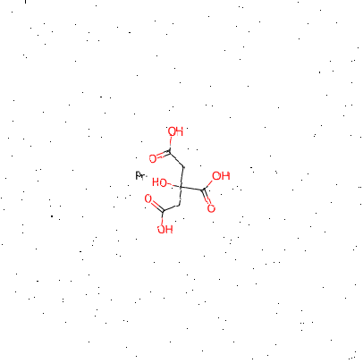 O=C(O)CC(O)(CC(=O)O)C(=O)O.[Pr]